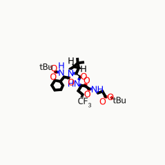 CC(C)(C)OC(=O)CCNC(=O)C(=O)C(CCC(F)(F)F)NC(=O)[C@@H]1[C@@H]2[C@H](CN1C(=O)[C@@H](NC(=O)OC(C)(C)C)C1CCCCC1)C2(C)C